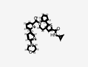 O=C(NC1CC1)c1cc2c(s1)-c1ccccc1N(C(=O)c1cccc(-c3ccc(N4CCCOCC4)nc3)n1)CC2